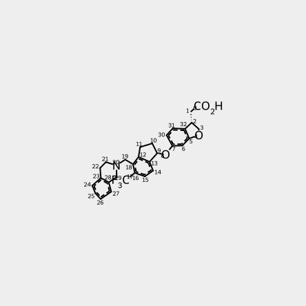 O=C(O)C[C@@H]1COc2cc(O[C@@H]3CCc4c3ccc(C(F)(F)F)c4CN3CCc4ccccc4C3)ccc21